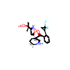 C[C@@H]1CC[C@](C(=O)c2ccccc2C2CC2(F)F)(c2cc(C(C)(C)O)no2)CN1